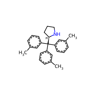 Cc1cccc(C(c2cccc(C)c2)(c2cccc(C)c2)[C@H]2CCCN2)c1